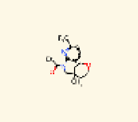 CCC(=O)N(CC1(C)CCOCC1)c1cccc(C(F)(F)F)n1